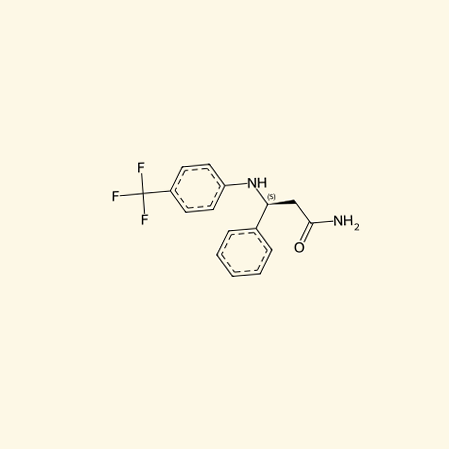 NC(=O)C[C@H](Nc1ccc(C(F)(F)F)cc1)c1ccccc1